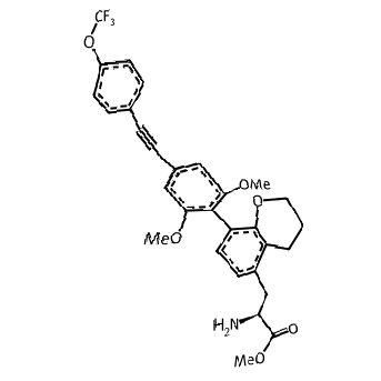 COC(=O)[C@@H](N)Cc1ccc(-c2c(OC)cc(C#Cc3ccc(OC(F)(F)F)cc3)cc2OC)c2c1CCCO2